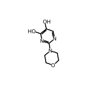 Oc1cnc(N2CCOCC2)nc1O